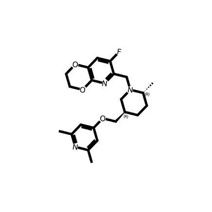 Cc1cc(OC[C@@H]2CC[C@@H](C)N(Cc3nc4c(cc3F)OCCO4)C2)cc(C)n1